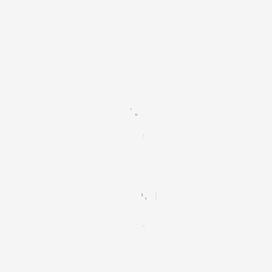 CC(=O)Nc1cccc2c1C(=O)N(Cc1c(Cl)cccc1Cl)C2=O